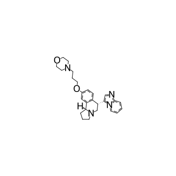 c1ccn2c([C@@H]3CN4CCC[C@@H]4c4cc(OCCCN5CCOCC5)ccc43)cnc2c1